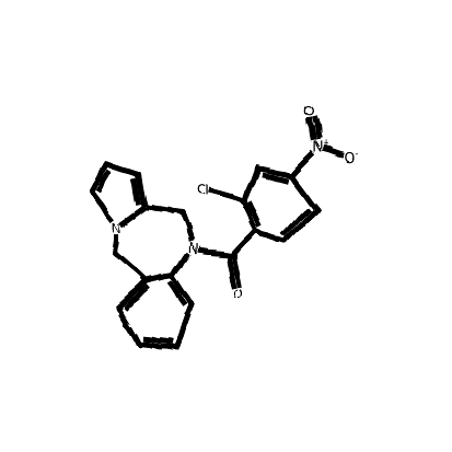 O=C(c1ccc([N+](=O)[O-])cc1Cl)N1Cc2cccn2Cc2ccccc21